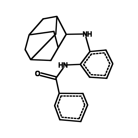 O=C(Nc1ccccc1NC1C2CC3CC(C2)CC1C3)c1ccccc1